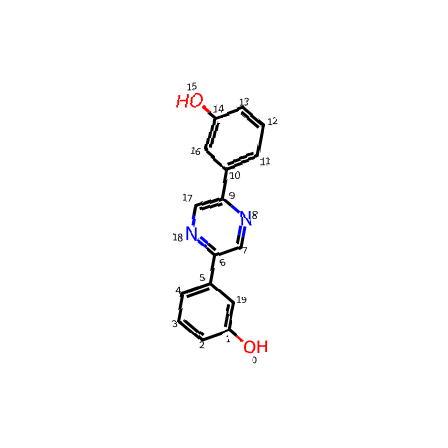 Oc1cccc(-c2cnc(-c3cccc(O)c3)cn2)c1